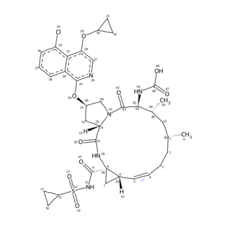 C[C@@H]1CC/C=C\[C@@H]2C[C@@]2(C(=O)NS(=O)(=O)C2CC2)NC(=O)[C@@H]2C[C@@H](Oc3ncc(OC4CC4)c4c(Cl)cccc34)CN2C(=O)[C@@H](NC(=O)O)[C@H](C)C1